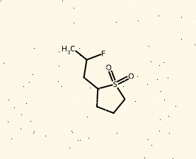 CC(F)CC1CCCS1(=O)=O